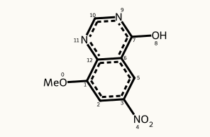 COc1cc([N+](=O)[O-])cc2c(O)ncnc12